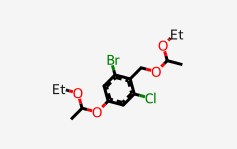 CCOC(C)OCc1c(Cl)cc(OC(C)OCC)cc1Br